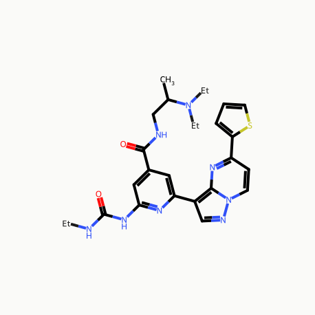 CCNC(=O)Nc1cc(C(=O)NCC(C)N(CC)CC)cc(-c2cnn3ccc(-c4cccs4)nc23)n1